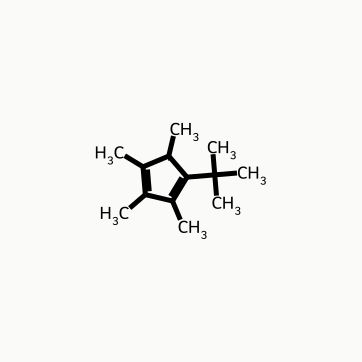 C[C]1C(C)=C(C)C(C)=C1C(C)(C)C